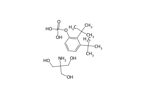 CC(C)(C)c1cccc(OP(=O)(O)O)c1C(C)(C)C.NC(CO)(CO)CO